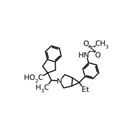 CCC1(c2cccc(NS(C)(=O)=O)c2)C2CN(C(C)C3(C(=O)O)Cc4ccccc4C3)CC21